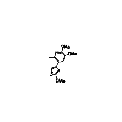 COc1nc(-c2cc(OC)c(OC)cc2C)cs1